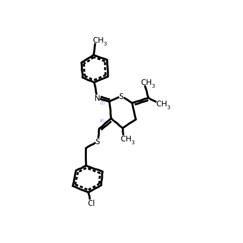 CC(C)=C1CC(C)C(=C\SCc2ccc(Cl)cc2)/C(=N/c2ccc(C)cc2)S1